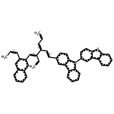 C=C/C=C(\C=C\c1ccc2c(c1)c1ccccc1n2-c1ccc2sc3ccccc3c2c1)C(/C=C)=C/c1cc2ccccc2cc1/C=C\C